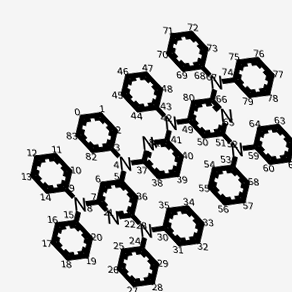 c1ccc(N(c2cc(N(c3ccccc3)c3ccccc3)nc(N(c3ccccc3)c3ccccc3)c2)c2cccc(N(c3ccccc3)c3cc(N(c4ccccc4)c4ccccc4)nc(N(c4ccccc4)c4ccccc4)c3)n2)cc1